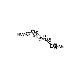 CNS(=O)(=O)c1cccc(OC[C@@H](O)CN[C@H]2COC3(CCN(S(=O)(=O)c4cccc(-c5ccc(OCC#N)cc5)c4)CC3)C2)c1